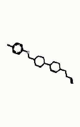 C=CCCC1C=CC(C2CCC(COc3ccc(C)cc3)CC2)CC1